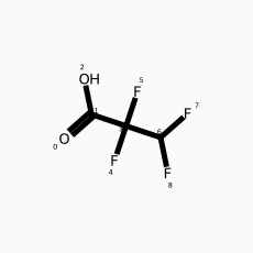 O=C(O)C(F)(F)C(F)F